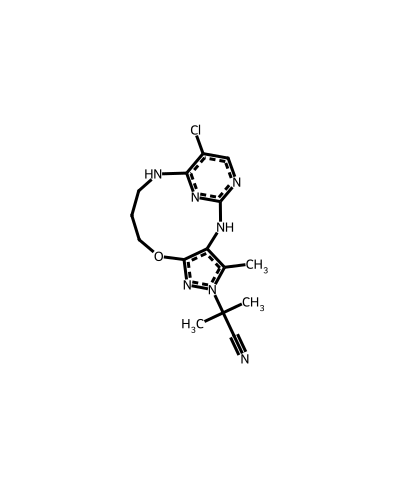 Cc1c2c(nn1C(C)(C)C#N)OCCCNc1nc(ncc1Cl)N2